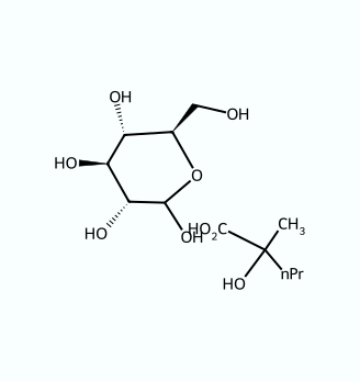 CCCC(C)(O)C(=O)O.OC[C@H]1OC(O)[C@H](O)[C@@H](O)[C@@H]1O